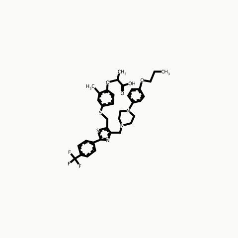 CCCOc1ccc(N2CCN(Cc3nc(-c4ccc(C(F)(F)F)cc4)sc3CSc3ccc(OC(C)C(=O)O)c(C)c3)CC2)cc1